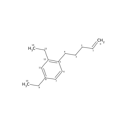 C=CCCCc1ccc(CC)cc1CC